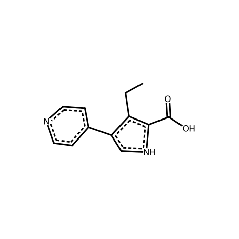 CCc1c(-c2ccncc2)c[nH]c1C(=O)O